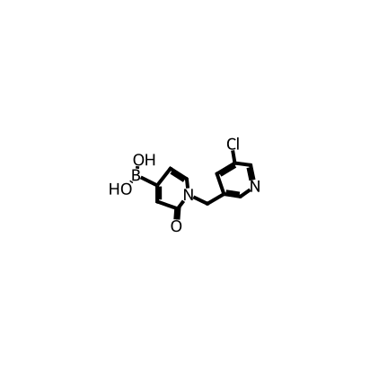 O=c1cc(B(O)O)ccn1Cc1cncc(Cl)c1